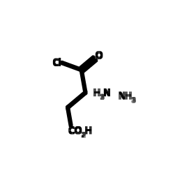 N.N.O=C(O)CCC(=O)Cl